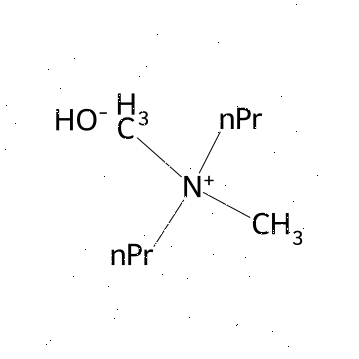 CCC[N+](C)(C)CCC.[OH-]